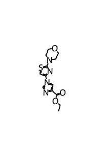 CCOC(=O)c1cn(-c2csc(N3CCOCC3)n2)cn1